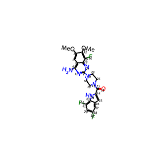 COc1cc2c(N)nc(N3CCN(C(=O)c4cc5cc(F)cc(F)c5[nH]4)CC3)nc2c(F)c1OC